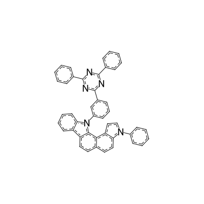 c1ccc(-c2nc(-c3ccccc3)nc(-c3cccc(-n4c5ccccc5c5ccc6ccc7c(ccn7-c7ccccc7)c6c54)c3)n2)cc1